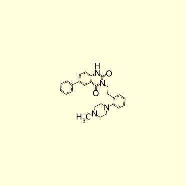 CN1CCN(c2ccccc2CCn2c(=O)[nH]c3ccc(-c4ccccc4)cc3c2=O)CC1